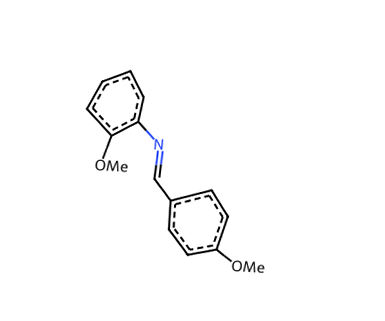 COc1ccc(C=Nc2ccccc2OC)cc1